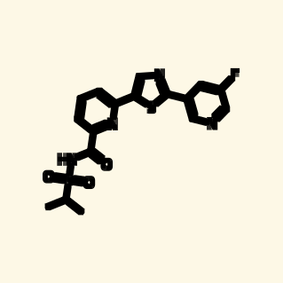 CC(C)S(=O)(=O)NC(=O)c1cccc(-c2cnc(-c3cncc(F)c3)s2)n1